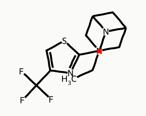 CCN1CC2CC(C1)N2Cc1nc(C(F)(F)F)cs1